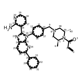 C=CC(=O)N1[C@@H](C)CN(Cc2ccc(-n3c(-c4cccnc4N)nc4ccc(-c5ccccc5)nc43)cc2)C[C@@H]1C